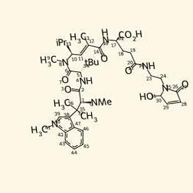 CN[C@H](C(=O)N[C@H](C(=O)N(C)[C@H](/C=C(\C)C(=O)N[C@H](CCC(=O)NCCN1C(=O)C=CC1O)C(=O)O)C(C)C)C(C)(C)C)C(C)(C)c1cn(C)c2ccccc12